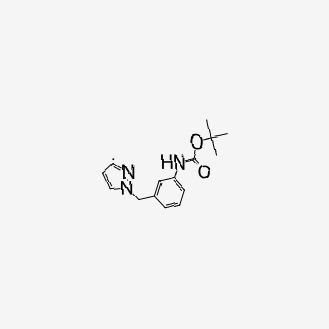 CC(C)(C)OC(=O)Nc1cccc(Cn2cc[c]n2)c1